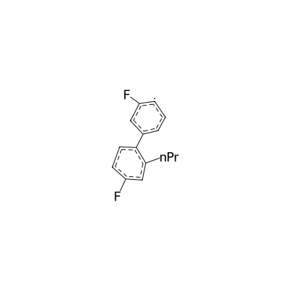 CCCc1cc(F)ccc1-c1cc[c]c(F)c1